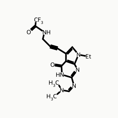 CCn1cc(C#CCNC(=O)C(F)(F)F)c2c(=O)[nH]c(/N=C\N(C)C)nc21